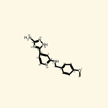 COc1ccc(CNc2cc(-c3nc(N)n[nH]3)ccn2)cc1